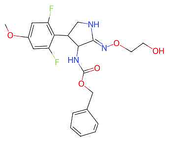 COc1cc(F)c(C2CN/C(=N\OCCO)C2NC(=O)OCc2ccccc2)c(F)c1